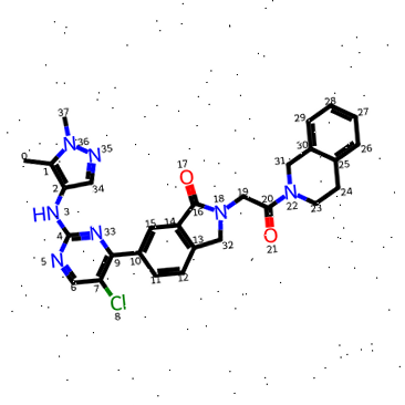 Cc1c(Nc2ncc(Cl)c(-c3ccc4c(c3)C(=O)N(CC(=O)N3CCc5ccccc5C3)C4)n2)cnn1C